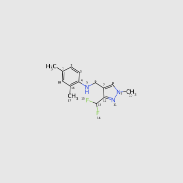 Cc1ccc(NCc2cn(C)nc2C(F)F)c(C)c1